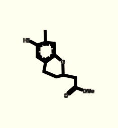 COC(=O)CC1CCc2cc(S)c(C)cc2O1